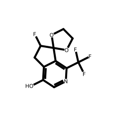 Oc1cnc(C(F)(F)F)c2c1CC(F)C21OCCO1